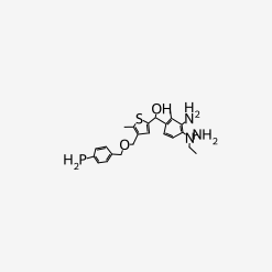 CCN(N)c1ccc(C(O)c2cc(COCc3ccc(P)cc3)c(C)s2)c(C)c1N